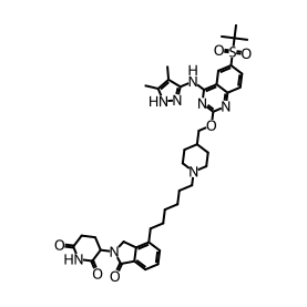 Cc1[nH]nc(Nc2nc(OCC3CCN(CCCCCCc4cccc5c4CN(C4CCC(=O)NC4=O)C5=O)CC3)nc3ccc(S(=O)(=O)C(C)(C)C)cc23)c1C